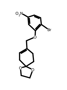 O=[N+]([O-])c1ccc(Br)c(OCC2=CCC3(CC2)OCCO3)c1